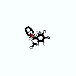 CC(C)(C)OC(=O)N1C2CCC1CN(c1nc(Cl)nc3c(Cl)c(Br)c(Cl)cc13)C2